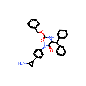 N[C@@H]1C[C@H]1c1ccc(NC(=O)C(NC(=O)OCc2ccccc2)C(c2ccccc2)c2ccccc2)cc1